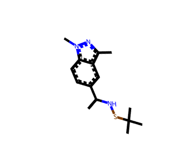 Cc1nn(C)c2ccc(C(C)NSC(C)(C)C)cc12